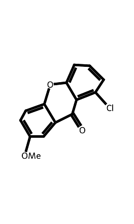 COc1ccc2oc3cccc(Cl)c3c(=O)c2c1